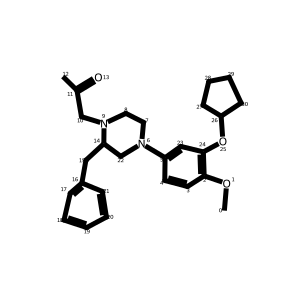 COc1ccc(N2CCN(CC(C)=O)C(Cc3ccccc3)C2)cc1OC1CCCC1